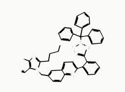 CCCCc1nc(Cl)c(C=O)n1Cc1ccc2nc(-c3ccccc3C3=NNN(C(c4ccccc4)(c4ccccc4)c4ccccc4)N3)ccc2c1